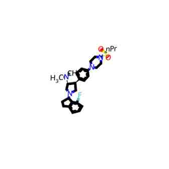 CCCS(=O)(=O)N1CCN(c2ccc([C@H]3CN(C4CCc5cccc(F)c54)C[C@@H]3N(C)C)cc2)CC1